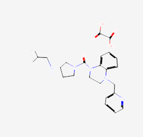 CC(C)CN[C@H]1CCN(C(=O)N2CCN(Cc3ccccn3)c3ccccc32)C1.O=C(O)C(=O)O